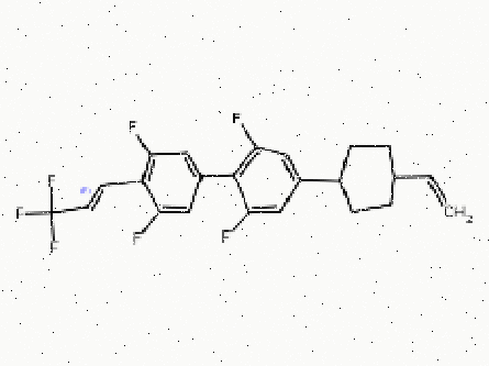 C=CC1CCC(c2cc(F)c(-c3cc(F)c(/C=C/C(F)(F)F)c(F)c3)c(F)c2)CC1